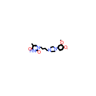 COc1ccc(N2CCN(CCCCn3cc(C)c(=O)[nH]c3=O)CC2)cc1OC